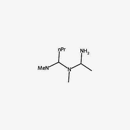 CCCC(NC)N(C)C(C)N